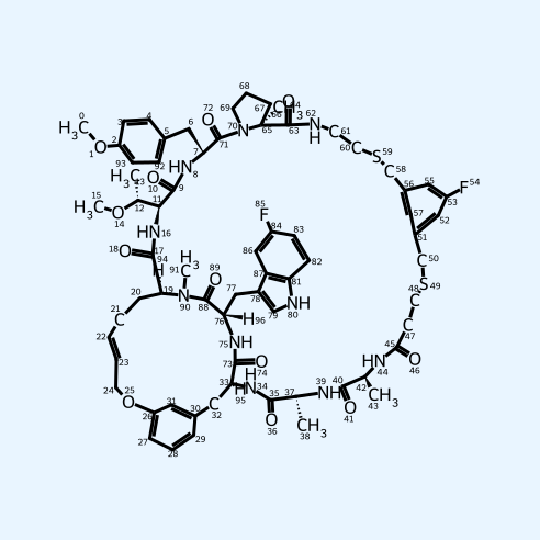 COc1ccc(C[C@@H]2NC(=O)[C@H]([C@@H](C)OC)NC(=O)[C@@H]3CC/C=C/COc4cccc(c4)C[C@H](NC(=O)[C@@H](C)NC(=O)[C@H](C)NC(=O)CCSCc4cc(F)cc(c4)CSCCNC(=O)[C@]4(C)CCCN4C2=O)C(=O)N[C@@H](Cc2c[nH]c4ccc(F)cc24)C(=O)N3C)cc1